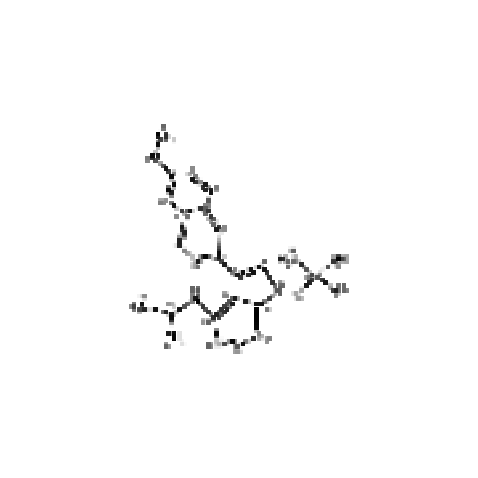 COc1ccc2cc(-c3cn(CC(C)(C)O)c4ncnc(NC(C)C)c34)ccc2c1